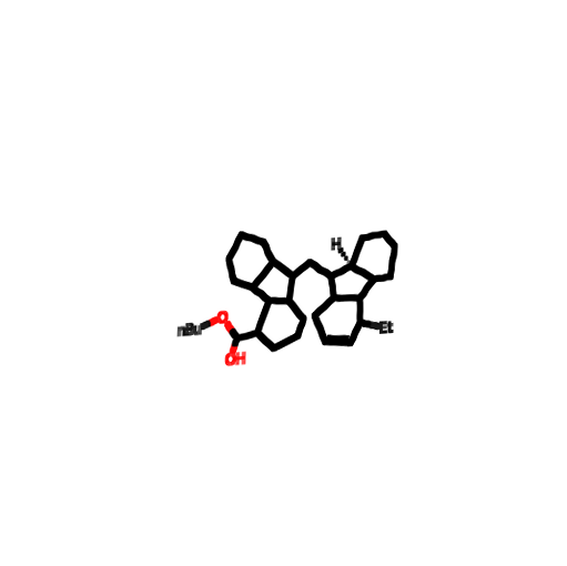 CCCCOC(O)C1CCCC2C(CC3C4CC=CC(CC)C4C4CCCC[C@H]34)C3CCCCC3C12